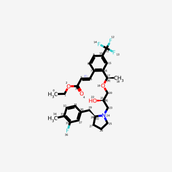 CCOC(=O)/C=C/c1ccc(C(F)(F)F)cc1[C@@H](C)OC[C@H](O)CN1CCC[C@H]1Cc1ccc(C)c(F)c1